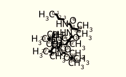 CCCCNC(=O)[C@@H](NC(=O)C(C)(C)C[C@H](O[Si](C)(C)C(C)(C)C)[C@H](CC(C)C)NC(=O)OC(C)(C)C)C(C)C